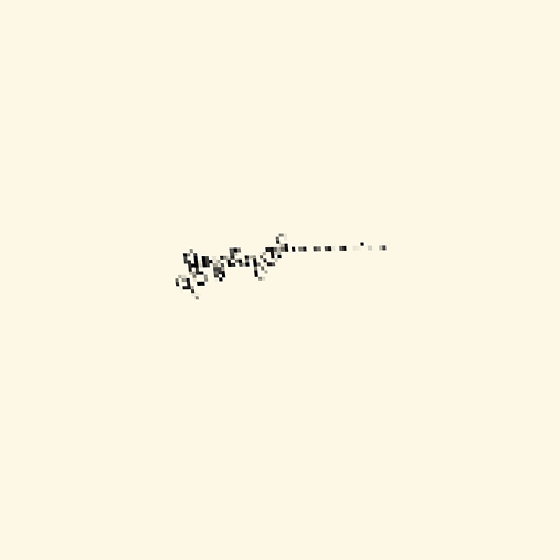 CCCCCCCCCCCCCCCCCC(=O)N1CCN(C(=O)OCC(COC(=O)NCC2=CC=CCN2C(=O)c2ccccc2OC)OC)CC1